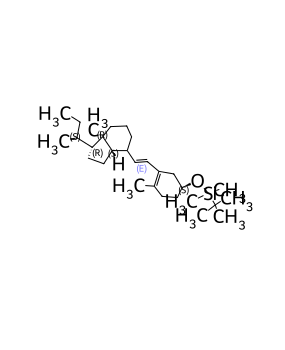 CC[C@H](C)[C@H]1CC[C@H]2C(/C=C/C3=C(C)CC[C@H](O[Si](C)(C)C(C)(C)C)C3)CCC[C@]12C